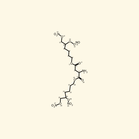 NC(CC(=O)OCCCCC(CO[N+](=O)[O-])OON=O)C(=O)OCCCCC(CO[N+](=O)[O-])O[N+](=O)[O-]